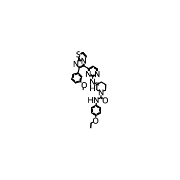 CCOc1ccc(NC(=O)N2CCC[C@@H](Nc3nccc(-c4c(-c5cccc(OC)c5)nc5sccn45)n3)C2)cc1